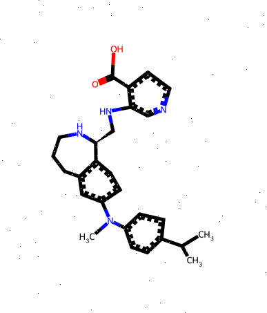 CC(C)c1ccc(N(C)c2ccc3c(c2)CCCN[C@H]3CNc2cnccc2C(=O)O)cc1